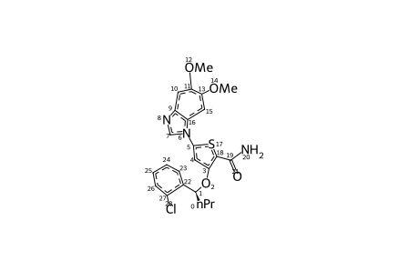 CCC[C@H](Oc1cc(-n2cnc3cc(OC)c(OC)cc32)sc1C(N)=O)c1ccccc1Cl